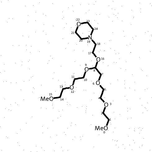 COCCOCCOCC(OCCOCCOC)OCCN1CCOCC1